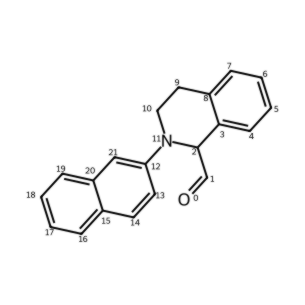 O=CC1c2ccccc2CCN1c1ccc2ccccc2c1